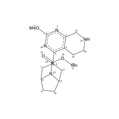 COc1nc2c(c(N3CC4CCC(C3)N4C(=O)OC(C)(C)C)n1)CCNC2